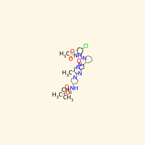 Cc1cn2nc([C@@H]3CCCCN3C(=O)c3cc(Cl)ccc3NS(C)(=O)=O)cc2nc1N1CCC(NC(=O)OC(C)(C)C)CC1